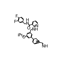 CC(C)Oc1cc(CNc2ncccc2C(=O)NCc2ccc(F)c(F)c2)cc(C2=CC=C3C(C=N)[C@@H]3C2)c1